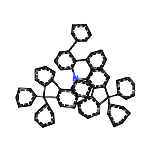 c1ccc(-c2ccccc2-c2c(-c3ccccc3)cccc2N(c2cccc3c2-c2ccccc2C3(c2ccccc2)c2ccccc2)c2cccc3c2-c2ccccc2C3(c2ccccc2)c2ccccc2)cc1